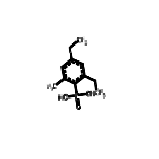 Cc1cc(CC(F)(F)F)cc(CC(F)(F)F)c1P(=O)(O)O